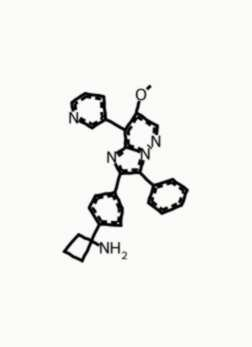 COc1cnn2c(-c3ccccc3)c(-c3ccc(C4(N)CCC4)cc3)nc2c1-c1cccnc1